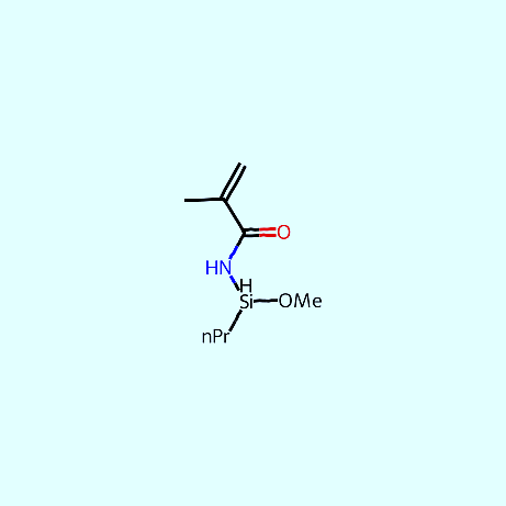 C=C(C)C(=O)N[SiH](CCC)OC